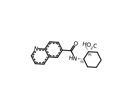 O=C(N[C@H]1CCCC[C@H]1C(=O)O)c1ccc2ncccc2c1